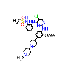 COc1cc(C2CCN(C3CCN(C)CC3)CC2)ccc1Nc1ncc(Cl)c(Nc2ccccc2NS(C)(=O)=O)n1